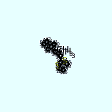 CC1(C)c2ccc(-c3cc4sc5ccc6ccccc6c5c4c4c3sc3ccccc34)cc2-c2ccc(-c3c4ccccc4c(-c4cccc5ccccc45)c4ccccc34)cc21